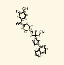 N#CCC1(n2cc(-c3ncnc4[nH]ccc34)cn2)CN(C2CCN(C(=O)c3ccc(O)c(F)c3)CC2)C1